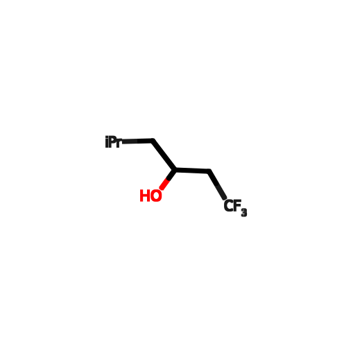 CC(C)CC(O)CC(F)(F)F